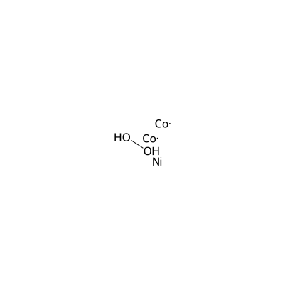 OO.[Co].[Co].[Ni]